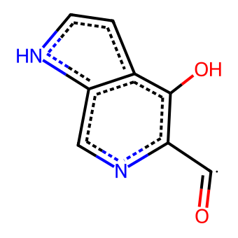 O=[C]c1ncc2[nH]ccc2c1O